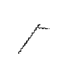 [CH2]CCCCCCCCCCCCCCCCCCCC(CC)CCCCC[CH2]